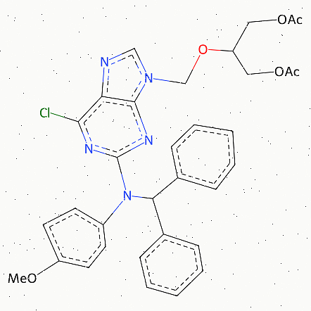 COc1ccc(N(c2nc(Cl)c3ncn(COC(COC(C)=O)COC(C)=O)c3n2)C(c2ccccc2)c2ccccc2)cc1